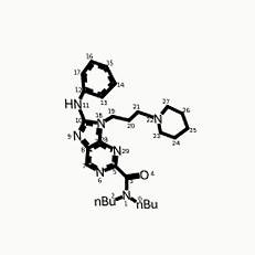 CCCCN(CCCC)C(=O)c1ncc2nc(Nc3ccccc3)n(CCCN3CCCCC3)c2n1